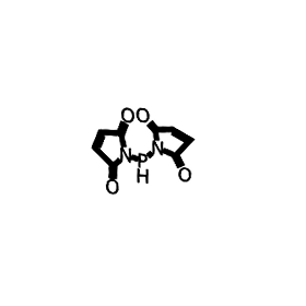 O=C1C=CC(=O)N1PN1C(=O)C=CC1=O